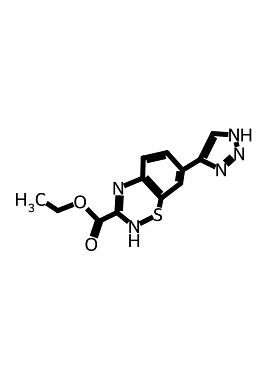 CCOC(=O)C1=Nc2ccc(-c3c[nH]nn3)cc2SN1